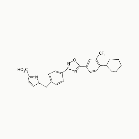 O=C(O)c1ccn(Cc2ccc(-c3noc(-c4ccc(C5CCCCC5)c(C(F)(F)F)c4)n3)cc2)n1